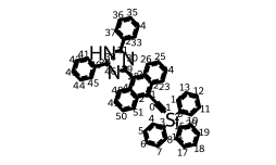 C(#C[Si](c1ccccc1)(c1ccccc1)c1ccccc1)c1c2ccccc2c(C2=NC(c3ccccc3)NC(c3ccccc3)=N2)c2ccccc12